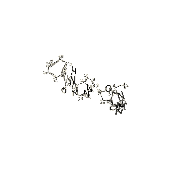 [N-]=[N+]=N[C@]1(CI)O[C@@H](c2ccc3c(NC(=O)c4ccccc4)ncnn23)C[C@@H]1O